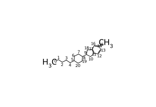 CCCCCC1CCC(C2Cc3ccc(C)cc3C2)CC1